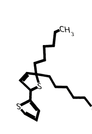 CCCCCCC1(CCCCCC)C=CC(c2cccs2)S1